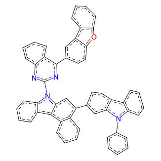 c1ccc(-n2c3ccccc3c3ccc(-c4cc5c(c6ccccc46)c4ccccc4n5-c4nc(-c5ccc6oc7ccccc7c6c5)c5ccccc5n4)cc32)cc1